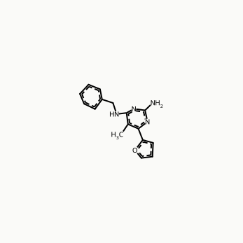 Cc1c(NCc2ccccc2)nc(N)nc1-c1ccco1